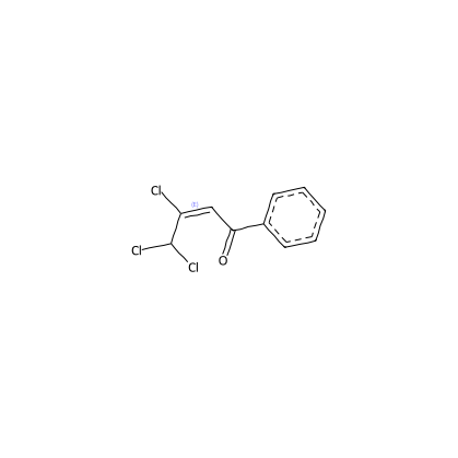 O=C(/C=C(/Cl)C(Cl)Cl)c1ccccc1